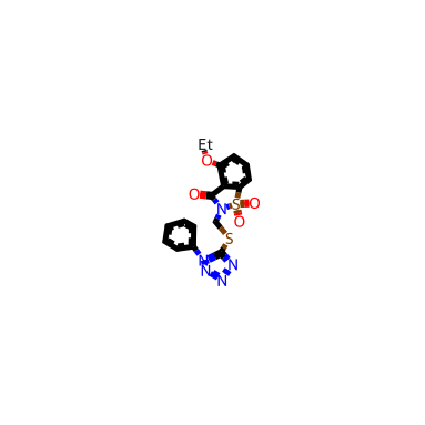 CCOc1cccc2c1C(=O)N(CSc1nnnn1-c1ccccc1)S2(=O)=O